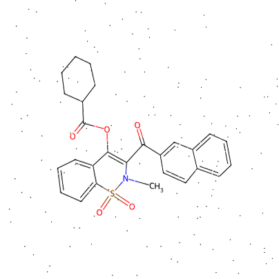 CN1C(C(=O)c2ccc3ccccc3c2)=C(OC(=O)C2CCCCC2)c2ccccc2S1(=O)=O